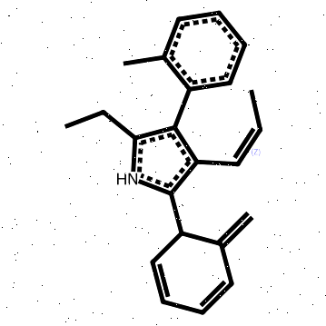 C=C1C=CC=CC1c1[nH]c(CC)c(-c2ccccc2C)c1/C=C\C